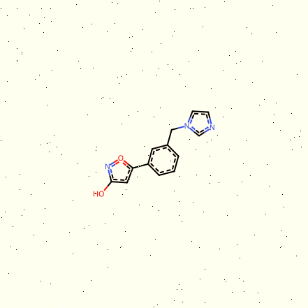 Oc1cc(-c2cccc(Cn3ccnc3)c2)on1